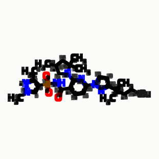 Cc1nn(C)cc1S(=O)(=O)NC(=O)c1ccc(-n2ccc([Si](C)(C)CCC(C)(C)C)n2)nc1N1C[C@@H](C)CC1(C)C